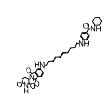 O=C1CCC(N2C(=O)c3ccc(NCCCCCCCCCCNc4ccc(C(=O)NC5CCCCC5)cc4)cc3C2=O)C(=O)N1